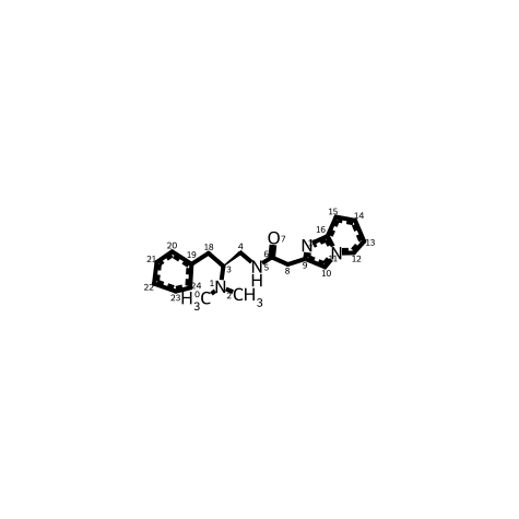 CN(C)[C@H](CNC(=O)Cc1cn2ccccc2n1)Cc1ccccc1